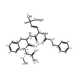 CCCCCCCC(C)(O)/C=C/C(NC(=O)OCc1ccccc1)C(=O)NC(Cc1ccccc1)C(=O)N[C@@H](CC(C)C)C(N)=O